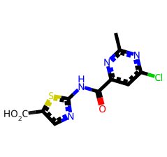 Cc1nc(Cl)cc(C(=O)Nc2ncc(C(=O)O)s2)n1